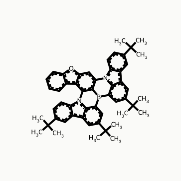 CC(C)(C)c1ccc2c(c1)c1cc(C(C)(C)C)cc3c1n2-c1cc2oc4ccccc4c2c2c1B3c1cc(C(C)(C)C)cc3c4cc(C(C)(C)C)ccc4n-2c13